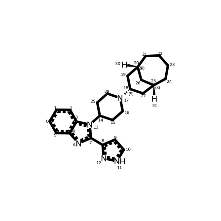 c1ccc2c(c1)nc(-c1cc[nH]n1)n2C1CCN([C@@H]2C[C@@H]3CCCC[C@@H](C3)C2)CC1